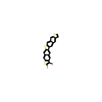 Ic1sc2cc3cc4sc5cc6cc7sccc7cc6cc5c4cc3cc2c1I